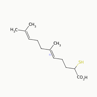 CC(C)=CCC/C(C)=C/CCC(S)C(=O)O